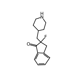 O=C1c2ccccc2CC1(F)CC1CCNCC1